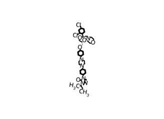 CCC(C)n1ncn(-c2ccc(N3CCN(c4ccc(OC[C@@H]5CO[C@](CN6CCOCC6)(c6ccc(Cl)cc6Cl)O5)cc4)CC3)cc2)c1=O